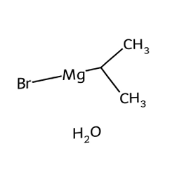 C[CH](C)[Mg][Br].O